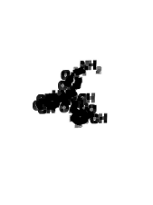 NCCN1CCN(C(=O)NC(C(=O)N[C@H]2Cc3cccc(C(=O)O)c3OB2O)c2ccc(P(=O)(O)O)cc2)C(=O)C1=O